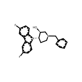 O[C@H]1CN(Cc2ccccc2)CC[C@@H]1n1c2ccc(F)cc2c2cc(F)ccc21